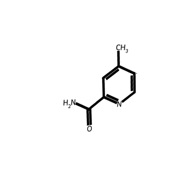 Cc1[c]cnc(C(N)=O)c1